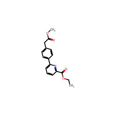 CCOC(=O)c1cccc(-c2ccc(CC(=O)OC)cc2)n1